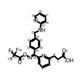 O=C(O)CCc1cccc(C(=NOC(=O)C(F)(F)F)c2ccc(CNc3ccccn3)cc2)n1